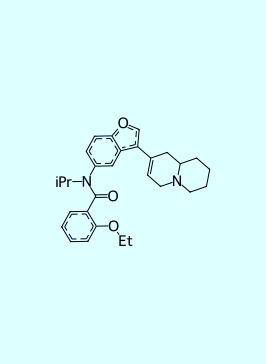 CCOc1ccccc1C(=O)N(c1ccc2occ(C3=CCN4CCCCC4C3)c2c1)C(C)C